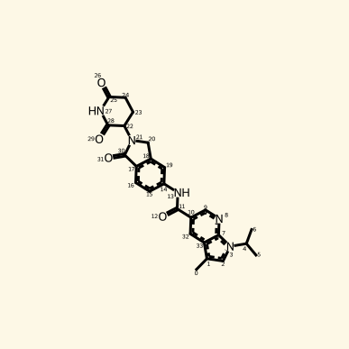 Cc1cn(C(C)C)c2ncc(C(=O)Nc3ccc4c(c3)CN(C3CCC(=O)NC3=O)C4=O)cc12